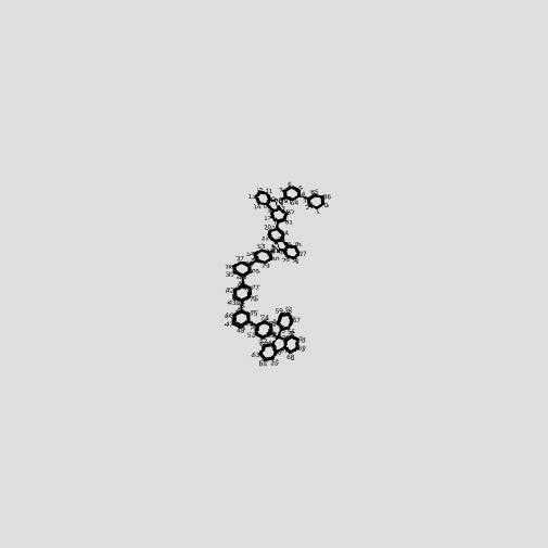 c1ccc(-c2cccc(-n3c4ccccc4c4cc(-c5ccc6c(c5)c5ccccc5n6-c5ccc(-c6cccc(-c7ccc(-c8cccc(-c9ccc(C%10(c%11ccccc%11)c%11ccccc%11-c%11ccccc%11%10)cc9)c8)cc7)c6)cc5)ccc43)c2)cc1